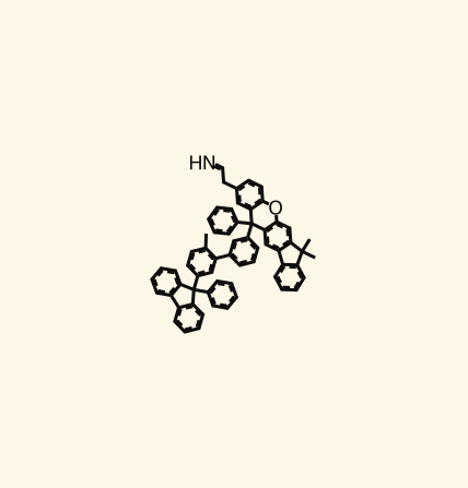 Cc1ccc(C2(c3ccccc3)c3ccccc3-c3ccccc32)cc1-c1cccc(C2(c3ccccc3)c3cc(CC=N)ccc3Oc3cc4c(cc32)-c2ccccc2C4(C)C)c1